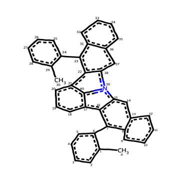 Cc1ccccc1-c1c2ccccc2cc2c1c1cccc3c4c(-c5ccccc5C)c5ccccc5cc4n2c13